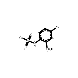 CC(C)(C)S(=O)(=O)Nc1ccc(C#N)cc1C(=O)O